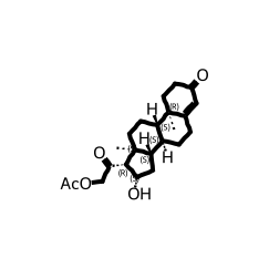 CC(=O)OCC(=O)[C@H]1[C@@H](O)C[C@H]2[C@@H]3CCC4=CC(=O)CC[C@]4(C)[C@H]3CC[C@@]21C